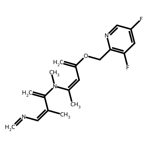 C=N/C=C(/C)C(=C)N(C)/C(C)=C\C(=C)OCc1ncc(F)cc1F